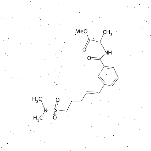 COC(=O)C(C)NC(=O)c1cccc(C=CCCCS(=O)(=O)N(C)C)c1